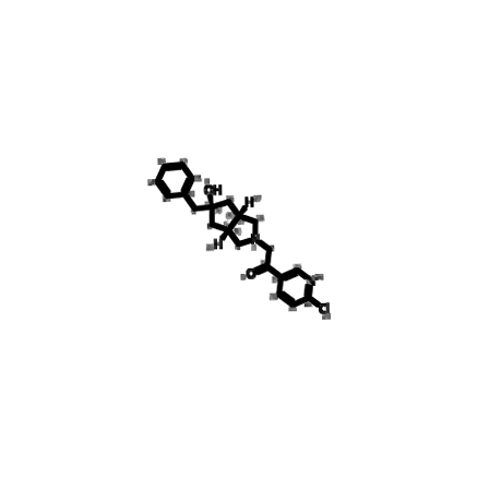 O=C(CN1C[C@@H]2C[C@](O)(Cc3ccccc3)C[C@@H]2C1)c1ccc(Cl)nc1